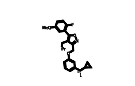 COc1ccc(F)c(-c2onc(COc3cccc([C@@H](C)C4CC4)c3)c2CC(C)C)c1